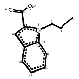 CCCn1c(C(=O)O)cc2[c]cccc21